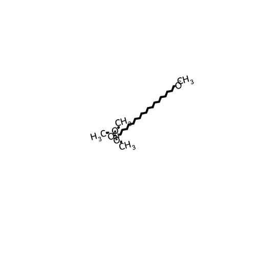 CCO[Si](CCCCCCCCCCCCCCCCCCOC)(OCC)OCC